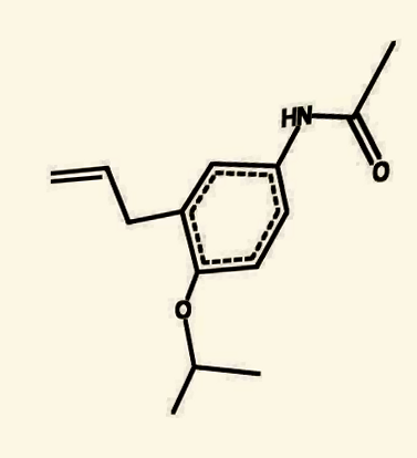 C=CCc1cc(NC(C)=O)ccc1OC(C)C